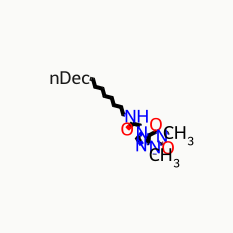 CCCCCCCCCCCCCCCCCCNC(=O)Cn1cnc2c1c(=O)n(C)c(=O)n2C